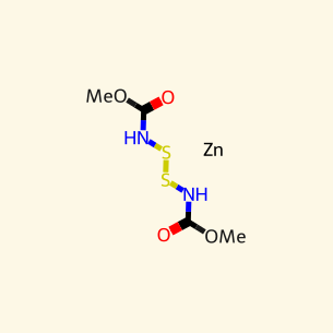 COC(=O)NSSNC(=O)OC.[Zn]